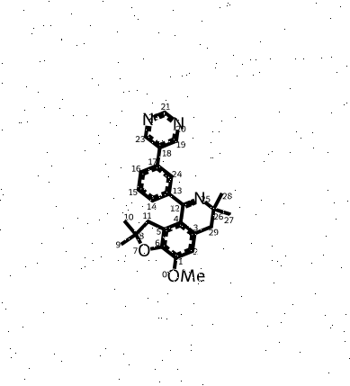 COc1cc2c(c3c1OC(C)(C)C3)C(c1cccc(-c3cncnc3)c1)=NC(C)(C)C2